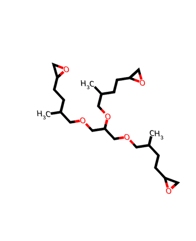 CC(CCC1CO1)COCC(COCC(C)CCC1CO1)OCC(C)CCC1CO1